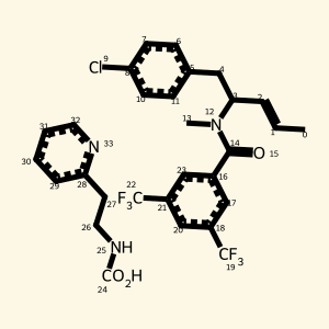 CC=CC(Cc1ccc(Cl)cc1)N(C)C(=O)c1cc(C(F)(F)F)cc(C(F)(F)F)c1.O=C(O)NCCc1ccccn1